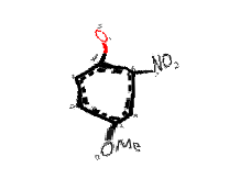 COc1ccc([O])c([N+](=O)[O-])c1